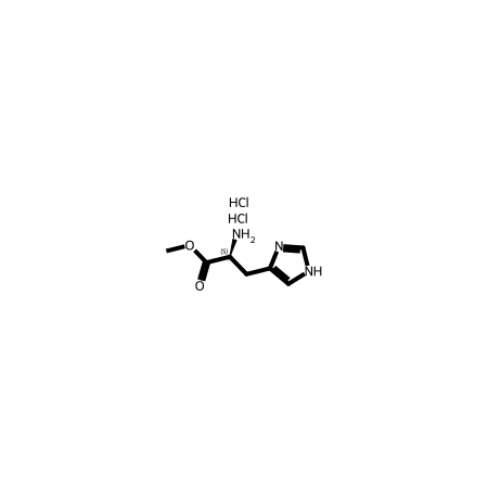 COC(=O)[C@@H](N)Cc1c[nH]cn1.Cl.Cl